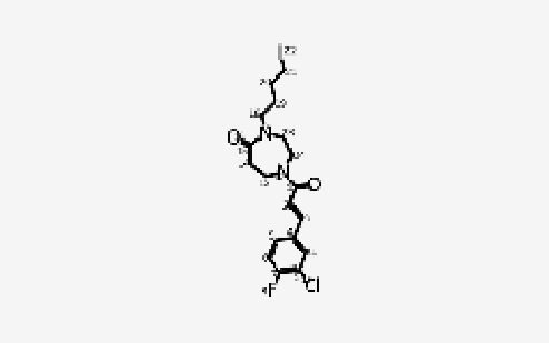 O=C(C=Cc1ccc(F)c(Cl)c1)N1CCC(=O)N(CCCCI)CC1